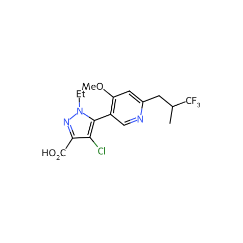 CCn1nc(C(=O)O)c(Cl)c1-c1cnc(CC(C)C(F)(F)F)cc1OC